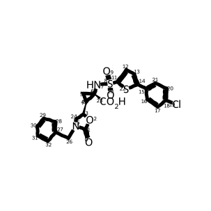 O=C1OC([C@H]2C[C@@]2(NS(=O)(=O)c2ccc(-c3ccc(Cl)cc3)s2)C(=O)O)CN1Cc1ccccc1